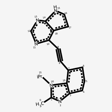 Cc1nc2cccc(C#Cc3ncnc4[nH]ccc34)c2n1C(C)C